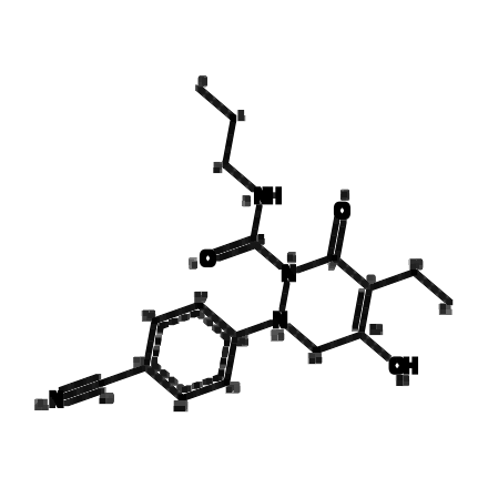 CCCNC(=O)N1C(=O)C(CC)=C(O)CN1c1ccc(C#N)cc1